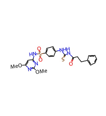 COc1cc(NS(=O)(=O)c2ccc(NC(=S)NC(=O)CCc3ccccc3)cc2)nc(OC)n1